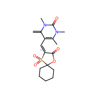 C=C1C(/C=C2\C(=O)OC3(CCCCC3)S2(=O)=O)=C(C)N(C)C(=O)N1C